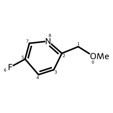 COCc1ccc(F)cn1